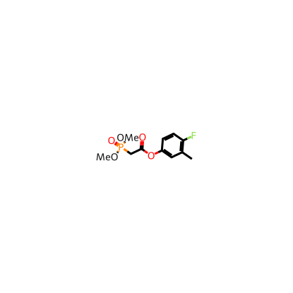 COP(=O)(CC(=O)Oc1ccc(F)c(C)c1)OC